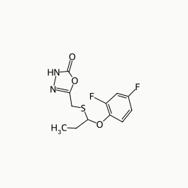 CCC(Oc1ccc(F)cc1F)SCc1n[nH]c(=O)o1